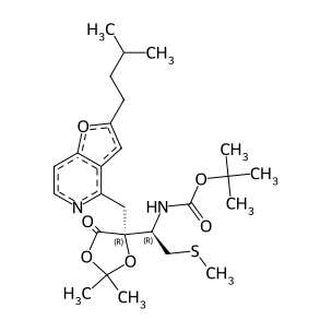 CSC[C@H](NC(=O)OC(C)(C)C)[C@@]1(Cc2nccc3oc(CCC(C)C)cc23)OC(C)(C)OC1=O